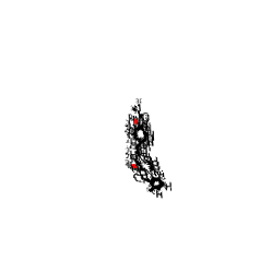 [2H]c1c([2H])c(C)c(Cl)c(N2C([2H])([2H])C([2H])([2H])N(C([2H])([2H])C[C@]3([2H])C([2H])([2H])C([2H])([2H])[C@@]([2H])(NC(=O)N(C)C)C([2H])([2H])C3([2H])[2H])C([2H])([2H])C2([2H])[2H])c1[2H]